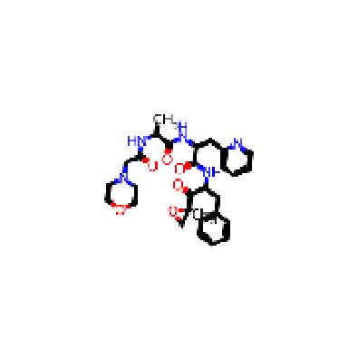 CC(NC(=O)CN1CCOCC1)C(=O)NC(Cc1ccccn1)C(=O)NC(Cc1ccccc1)C(=O)C1(C)CO1